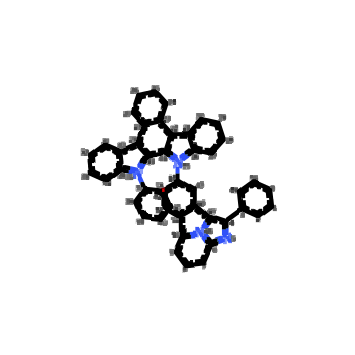 c1ccc(-c2nc3cccc4c5ccc(-n6c7ccccc7c7c8ccccc8c8c9ccccc9n(-c9ccccc9)c8c76)cc5c2n34)cc1